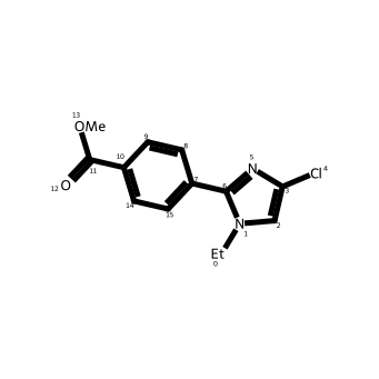 CCn1cc(Cl)nc1-c1ccc(C(=O)OC)cc1